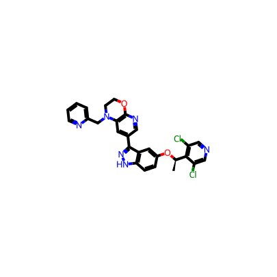 C[C@@H](Oc1ccc2[nH]nc(-c3cnc4c(c3)N(Cc3ccccn3)CCO4)c2c1)c1c(Cl)cncc1Cl